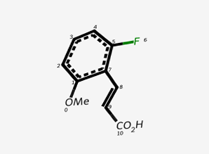 COc1cccc(F)c1C=CC(=O)O